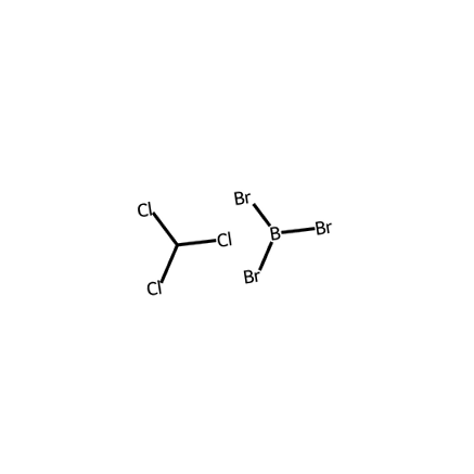 BrB(Br)Br.ClC(Cl)Cl